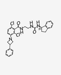 O=C(NCCNC(=O)c1c(Cl)ccc(N2CC(c3ccccc3)C2)c1Cl)N[C@@H]1CCc2ccccc21